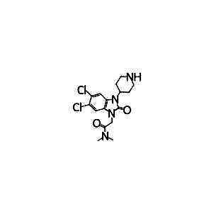 CN(C)C(=O)Cn1c(=O)n(C2CCNCC2)c2cc(Cl)c(Cl)cc21